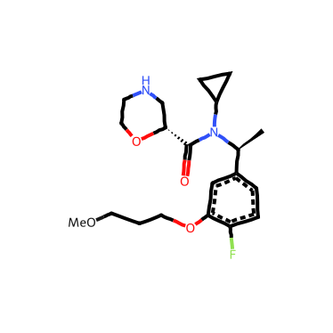 COCCCOc1cc([C@H](C)N(C(=O)[C@H]2CNCCO2)C2CC2)ccc1F